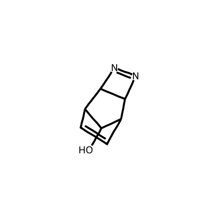 OC1C2C=CC1C1N=NC21